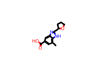 Cc1cc(C(=O)O)cc2nc(C3CCCO3)[nH]c12